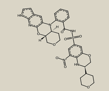 O=C(NS(=O)(=O)c1cc2c(c([N+](=O)[O-])c1)N[C@H](C1CCOCC1)CO2)c1ccccc1N1c2cc3cc[nH]c3nc2O[C@H]2COCC[C@@H]21